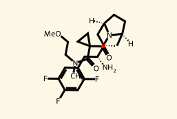 COCCN(C)C(=O)C1(C(=O)N2[C@@H]3CC[C@H]2C[C@H]([C@H](N)Cc2cc(F)c(F)cc2F)C3)CC1